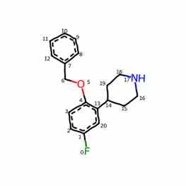 Fc1ccc(OCc2ccccc2)c(C2CCNCC2)c1